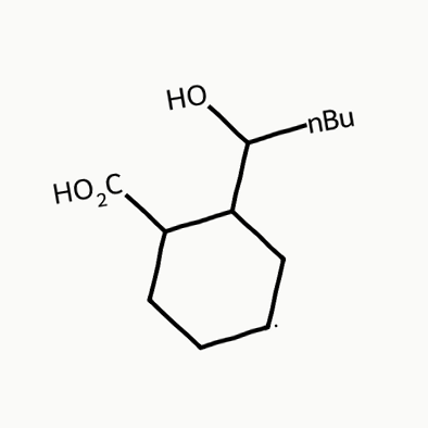 CCCCC(O)C1C[CH]CCC1C(=O)O